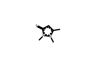 Cc1cc(=S)n(C)n1C